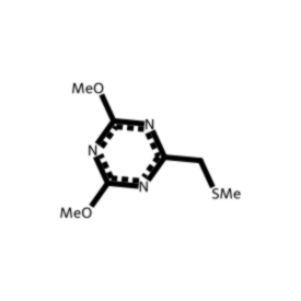 COc1nc(CSC)nc(OC)n1